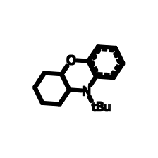 CC(C)(C)N1c2ccccc2OC2CCCCC21